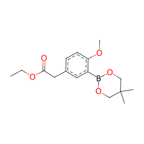 CCOC(=O)Cc1ccc(OC)c(B2OCC(C)(C)CO2)c1